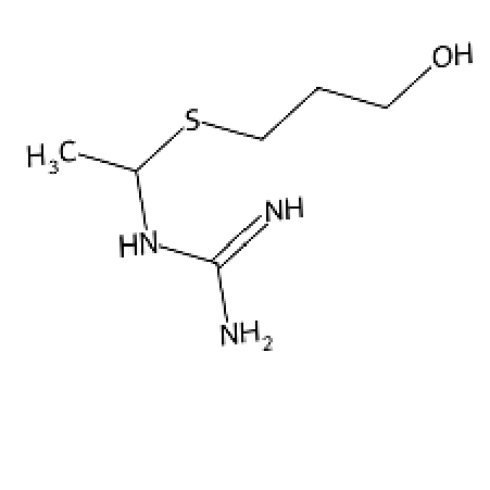 CC(NC(=N)N)SCCCO